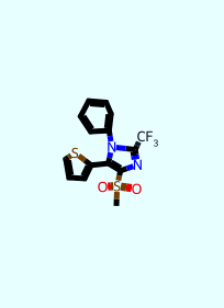 CS(=O)(=O)c1nc(C(F)(F)F)n(-c2ccccc2)c1-c1cccs1